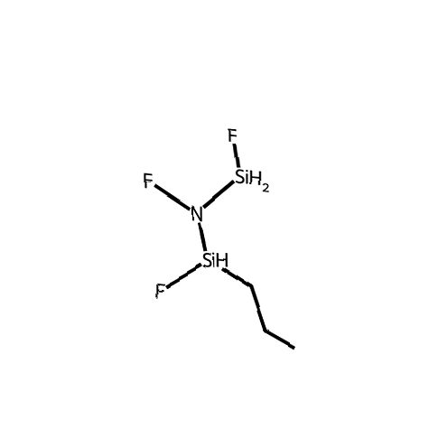 CCC[SiH](F)N(F)[SiH2]F